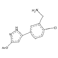 CC(=O)Oc1cc(-c2ccc(Cl)c(CN)c2)[nH]n1